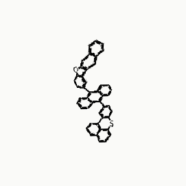 c1ccc2cc3c(cc2c1)oc1ccc(-c2c4ccccc4c(-c4ccc5c(c4)-c4cccc6cccc(c46)S5)c4ccccc24)cc13